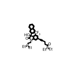 CCN(CC)CCN1C(=O)C(O)(c2ccc3ccccc3c2)c2c1cc(C#CCCC(=O)N(CC)CC)cc2C(F)(F)F